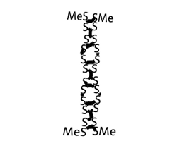 CSC1=C(SC)SC(=C2SC3=C(SCSC4=C(SCS3)SC(=C3SC5=C(SCSC6=C(SCS5)SC(=C5SC(SC)=C(SC)S5)S6)S3)S4)S2)S1